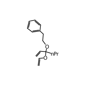 C=COC(C=C)(CCC)OCCc1ccccc1